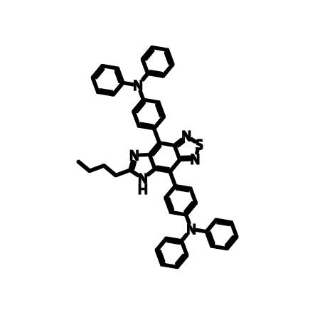 CCCCc1nc2c(-c3ccc(N(c4ccccc4)c4ccccc4)cc3)c3nsnc3c(-c3ccc(N(c4ccccc4)c4ccccc4)cc3)c2[nH]1